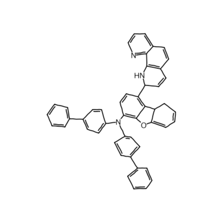 C1=CCC2C(=C1)Oc1c(N(c3ccc(-c4ccccc4)cc3)c3ccc(-c4ccccc4)cc3)ccc(C3C=Cc4ccc5cccnc5c4N3)c12